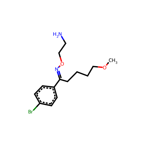 COCCCCC(=NOCCN)c1ccc(Br)cc1